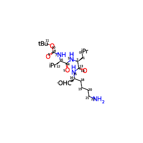 CC(C)C[C@H](NC(=O)[C@H](NC(=O)OC(C)(C)C)C(C)C)C(=O)N[C@H]([C]=O)CCCCN